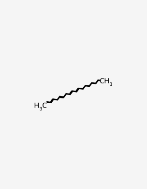 CCC=CCC=CCC=CC=CCCCCCCC